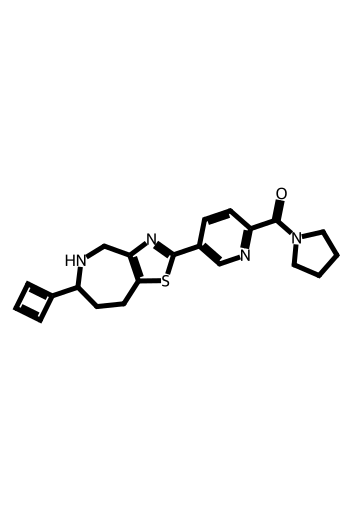 O=C(c1ccc(-c2nc3c(s2)CCC(C2=CC=C2)NC3)cn1)N1CCCC1